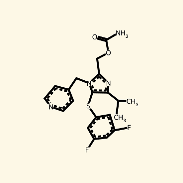 CC(C)c1nc(COC(N)=O)n(Cc2ccncc2)c1Sc1cc(F)cc(F)c1